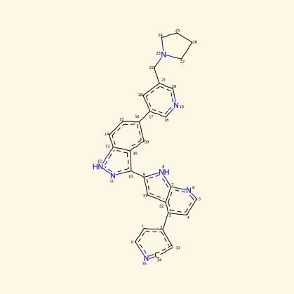 c1cc(-c2ccnc3[nH]c(-c4n[nH]c5ccc(-c6cncc(CN7CCCC7)c6)cc45)cc23)ccn1